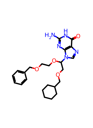 Nc1nc2c(ncn2C(COCC2CCCCC2)OCCOCc2ccccc2)c(=O)[nH]1